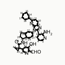 Nc1ncccc1-c1nc2ccc(-c3ccccc3)nc2n1-c1ccc2c(c1)CC[C@@H]2NC(=O)C1(c2cnc(C=O)c(O)c2)CC1